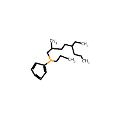 CCCC(CC)CCC(C)CP(CCC)c1ccccc1